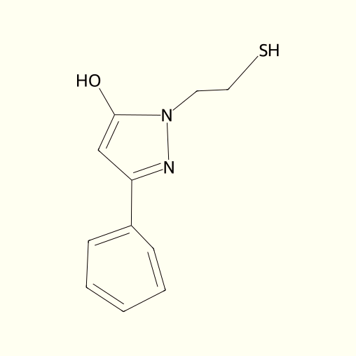 Oc1cc(-c2ccccc2)nn1CCS